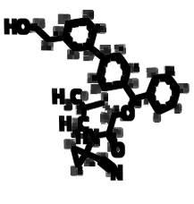 CC(C)C[C@H](O[C@H](c1ccccc1)c1ccc(-c2cccc(CCO)c2)cc1)C(=O)NC1(C#N)CC1